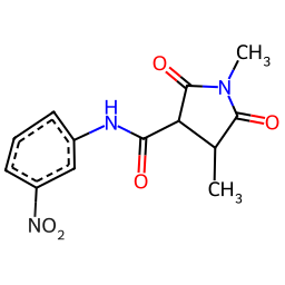 CC1C(=O)N(C)C(=O)C1C(=O)Nc1cccc([N+](=O)[O-])c1